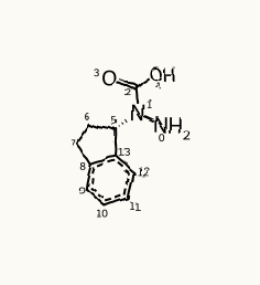 NN(C(=O)O)[C@H]1CCc2ccccc21